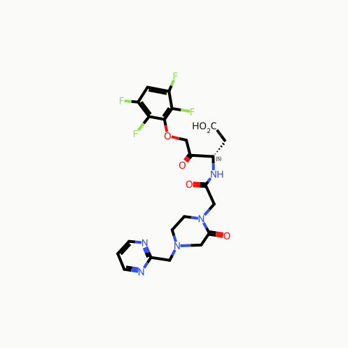 O=C(O)C[C@H](NC(=O)CN1CCN(Cc2ncccn2)CC1=O)C(=O)COc1c(F)c(F)cc(F)c1F